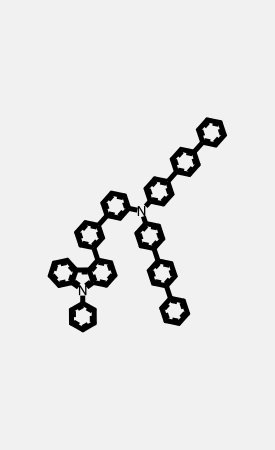 c1ccc(-c2ccc(-c3ccc(N(c4ccc(-c5ccc(-c6ccccc6)cc5)cc4)c4cccc(-c5cccc(-c6cccc7c6c6ccccc6n7-c6ccccc6)c5)c4)cc3)cc2)cc1